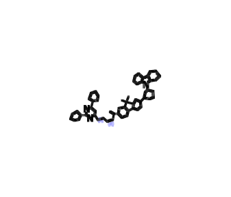 C=C(/C=C\C=C\c1cc(-c2ccccc2)nc(-c2ccccc2)n1)c1ccc2c(c1)C(C)(C)c1cc(-c3cccc(-n4c5ccccc5c5ccccc54)c3)ccc1-2